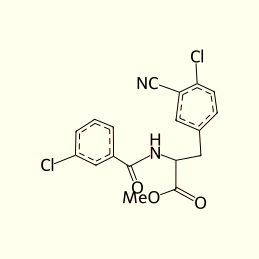 COC(=O)C(Cc1ccc(Cl)c(C#N)c1)NC(=O)c1cccc(Cl)c1